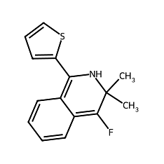 CC1(C)NC(c2cccs2)=c2ccccc2=C1F